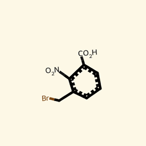 O=C(O)c1cccc(CBr)c1[N+](=O)[O-]